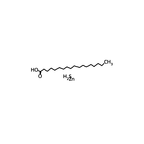 CCCCCCCCCCCCCCCCCC(=O)O.S.[Zn]